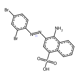 Nc1c(/N=N/c2ccc(Br)cc2Br)cc(S(=O)(=O)O)c2ccccc12